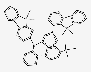 CC(C)(C)c1ccc(-c2ccccc2N(c2cccc(-c3cccc4c3C(C)(C)c3ccccc3-4)c2)c2ccc3c(c2)C(C)(C)c2ccccc2-3)cc1